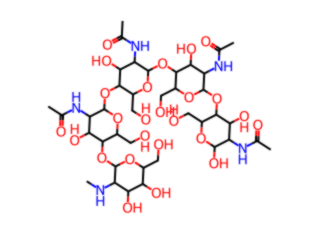 CNC1C(OC2C(CO)OC(OC3C(CO)OC(OC4C(CO)OC(OC5C(CO)OC(O)C(NC(C)=O)C5O)C(NC(C)=O)C4O)C(NC(C)=O)C3O)C(NC(C)=O)C2O)OC(CO)C(O)C1O